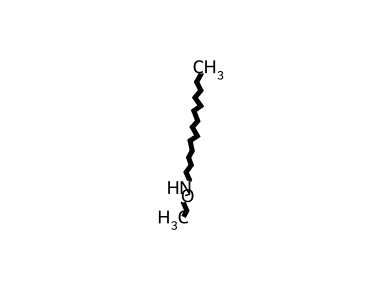 CCCCCCCCCCCCCCCCNOCCC